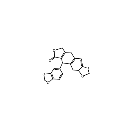 O=C1OCC2=C1C(c1ccc3c(c1)OCO3)C1=C(C=C3OCOC3C1)C2